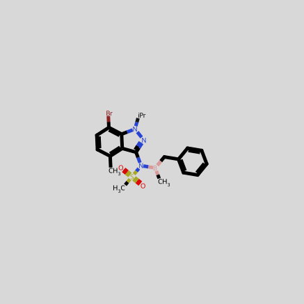 CB(Cc1ccccc1)N(c1nn(C(C)C)c2c(Br)ccc(C)c12)S(C)(=O)=O